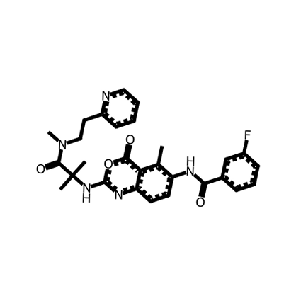 Cc1c(NC(=O)c2cccc(F)c2)ccc2nc(NC(C)(C)C(=O)N(C)CCc3ccccn3)oc(=O)c12